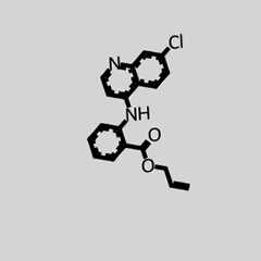 C=CCOC(=O)c1ccccc1Nc1ccnc2cc(Cl)ccc12